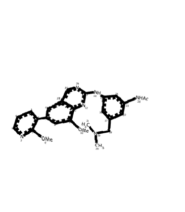 COc1ncccc1-c1cc(OC)c2nc(Nc3cc(CN(C)C)cc(NC(C)=O)c3)ncc2c1